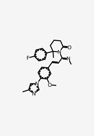 C/N=C(\C=C\c1ccc(-n2cnc(C)c2)c(OC)c1)N1C(=O)CCCC1(C)c1ccc(F)cc1